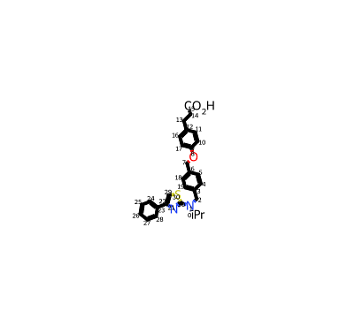 CC(C)N(Cc1ccc(COc2ccc(CCC(=O)O)cc2)cc1)c1nc(-c2ccccc2)cs1